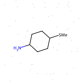 CSC1CCC(N)CC1